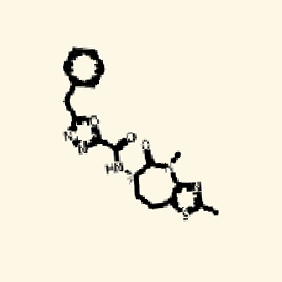 Cc1nc2c(s1)CC[C@H](NC(=O)c1nnc(Cc3ccccc3)o1)C(=O)N2C